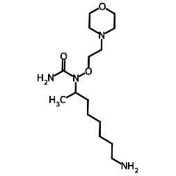 CC(CCCCCCN)N(OCCN1CCOCC1)C(N)=O